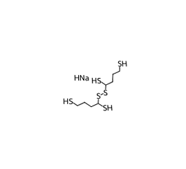 SCCCC(S)SSC(S)CCCS.[NaH]